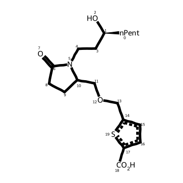 CCCCC[C@H](O)CCN1C(=O)CCC1COCc1ccc(C(=O)O)s1